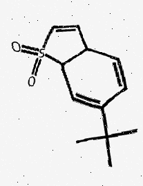 CC(C)(C)C1=CC2C(C=C1)C=CS2(=O)=O